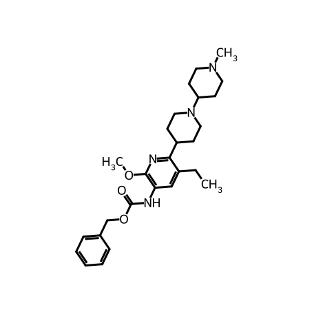 CCc1cc(NC(=O)OCc2ccccc2)c(OC)nc1C1CCN(C2CCN(C)CC2)CC1